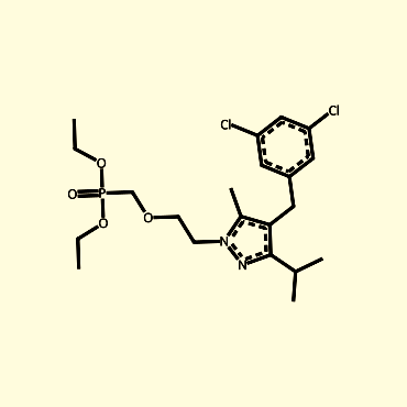 CCOP(=O)(COCCn1nc(C(C)C)c(Cc2cc(Cl)cc(Cl)c2)c1C)OCC